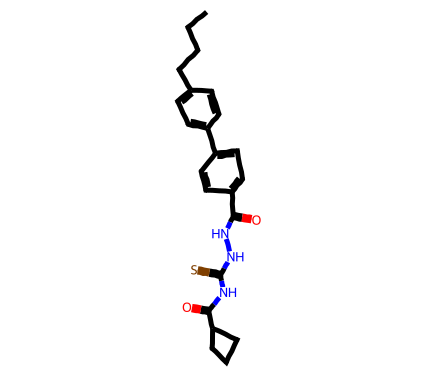 CCCCc1ccc(-c2ccc(C(=O)NNC(=S)NC(=O)C3CCC3)cc2)cc1